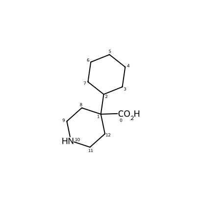 O=C(O)C1(C2CCCCC2)CCNCC1